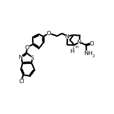 NC(=O)N1CC2C[C@@H]1CN2CCOc1ccc(Oc2nc3cc(Cl)ccc3s2)cc1